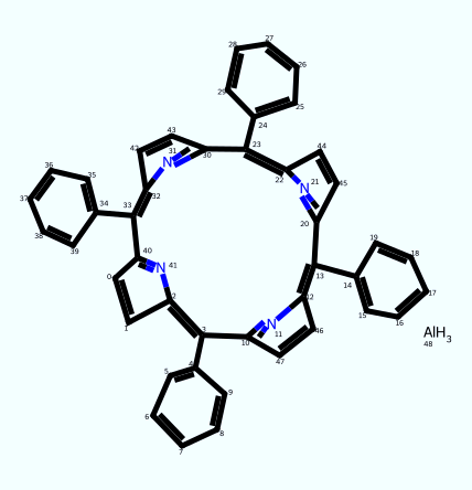 C1=CC2=C(c3ccccc3)C3=NC(=C(c4ccccc4)C4=NC(=C(c5ccccc5)C5=NC(=C(c6ccccc6)C1=N2)C=C5)C=C4)C=C3.[AlH3]